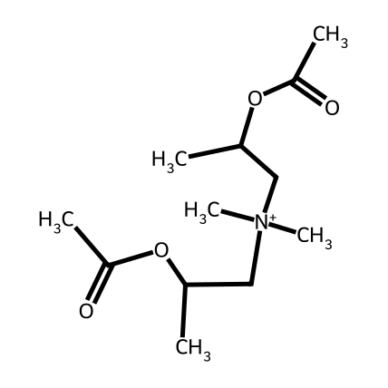 CC(=O)OC(C)C[N+](C)(C)CC(C)OC(C)=O